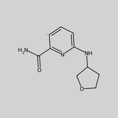 NC(=O)c1[c]ccc(NC2CCOC2)n1